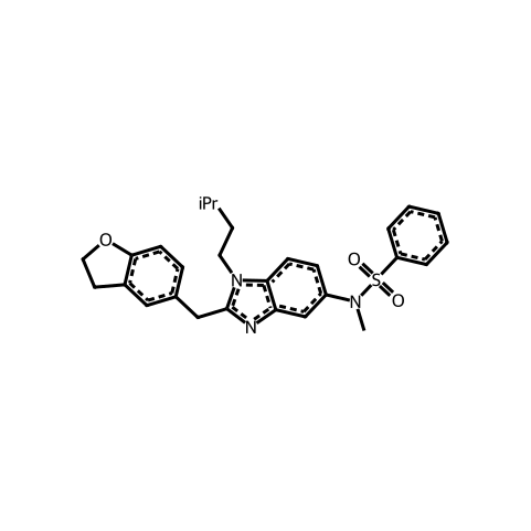 CC(C)CCn1c(Cc2ccc3c(c2)CCO3)nc2cc(N(C)S(=O)(=O)c3ccccc3)ccc21